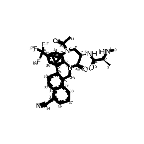 CN[C@@H](C)C(=O)N[C@H]1CN(C(C)=O)c2cc(C(F)(F)F)ccc2N(Cc2c(C3CC3)ccc3c(C#N)cccc23)C1=O